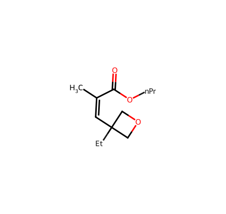 CCCOC(=O)C(C)=CC1(CC)COC1